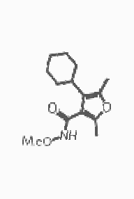 CONC(=O)c1c(C)oc(C)c1C1CCCCC1